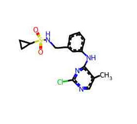 Cc1cnc(Cl)nc1Nc1cccc(CNS(=O)(=O)C2CC2)c1